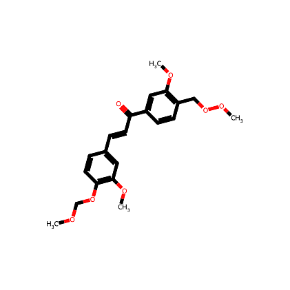 COCOc1ccc(/C=C/C(=O)c2ccc(COOC)c(OC)c2)cc1OC